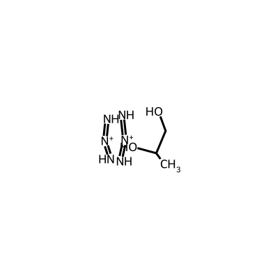 CC(O)CO.N=[N+]=N.N=[N+]=N